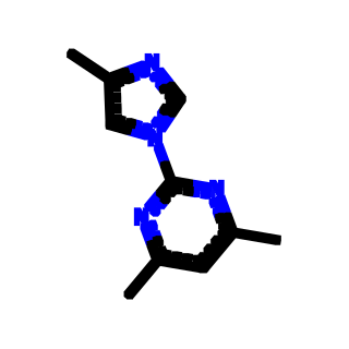 Cc1cn(-c2nc(C)cc(C)n2)cn1